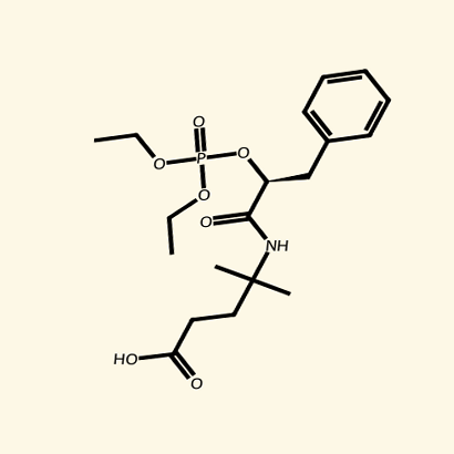 CCOP(=O)(OCC)O[C@@H](Cc1ccccc1)C(=O)NC(C)(C)CCC(=O)O